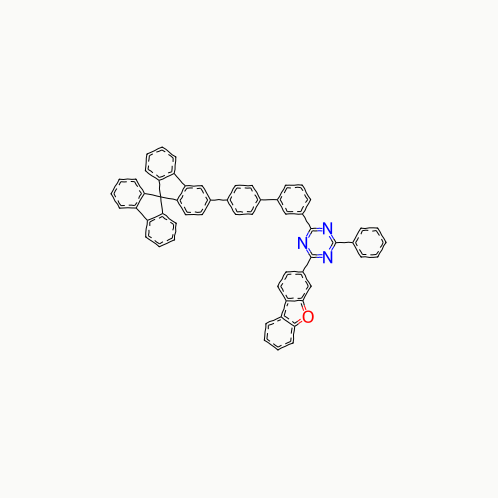 c1ccc(-c2nc(-c3cccc(-c4ccc(-c5ccc6c(c5)-c5ccccc5C65c6ccccc6-c6ccccc65)cc4)c3)nc(-c3ccc4c(c3)oc3ccccc34)n2)cc1